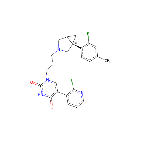 O=c1[nH]c(=O)n(CCCN2CC3C[C@]3(c3ccc(C(F)(F)F)cc3F)C2)cc1-c1cccnc1F